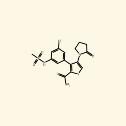 CS(=O)(=O)Nc1cc(Cl)cc(-c2c(N3CCCC3=O)csc2C(N)=O)c1